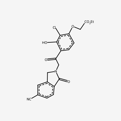 CCOC(=O)COc1ccc(C(=O)CN2Cc3cc(C#N)ccc3C2=O)c(O)c1Cl